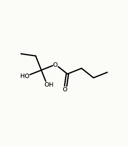 CCCC(=O)OC(O)(O)CC